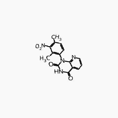 Cc1ccc(-n2c(=O)[nH]c(=O)c3cccnc32)c(C)c1[N+](=O)[O-]